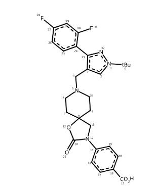 CC(C)(C)n1cc(CN2CCC3(CC2)CN(c2ccc(C(=O)O)cc2)C(=O)O3)c(-c2ccc(F)cc2F)n1